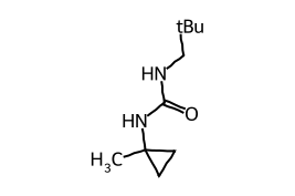 CC(C)(C)CNC(=O)NC1(C)CC1